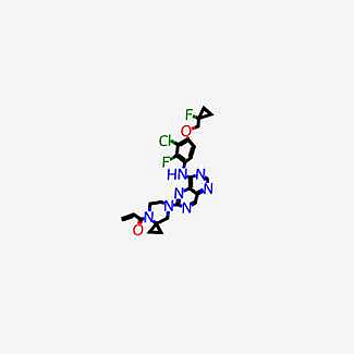 C=CC(=O)N1CCN(c2ncc3ncnc(Nc4ccc(OCC5(F)CC5)c(Cl)c4F)c3n2)CC12CC2